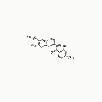 Cc1ccc(C(=O)Nc2ccc3cc(S(=O)(=O)O)c(O)cc3c2)c([N+](=O)[O-])c1